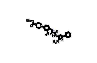 C=Nc1cc(N2CCN(C(=O)OC(C)(C)C)CC2)ccc1/C=C(\C)C(=O)Nc1cc(-c2ccccc2)sc1N